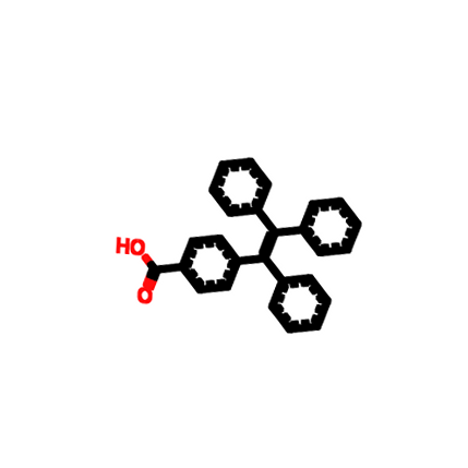 O=C(O)c1ccc(C(=C(c2ccccc2)c2ccccc2)c2ccccc2)cc1